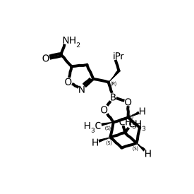 CC(C)C[C@@H](B1O[C@@H]2C[C@@H]3C[C@@H](C3(C)C)[C@]2(C)O1)C1=NOC(C(N)=O)C1